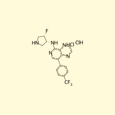 Cl.Cl.F[C@H]1CNC[C@H]1Nc1ncc(-c2ccc(C(F)(F)F)cc2)c2nccnc12